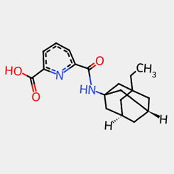 CCC12C[C@H]3C[C@@H](C1)CC(NC(=O)c1cccc(C(=O)O)n1)(C3)C2